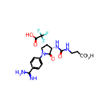 N=C(N)c1ccc(N2CC[C@H](NC(=O)NCCC(=O)O)C2=O)cc1.O=C(O)C(F)(F)F